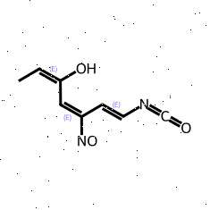 C\C=C(O)/C=C(\C=C\N=C=O)N=O